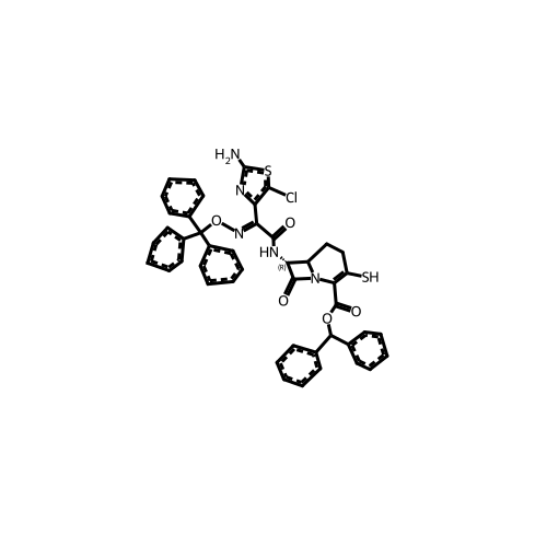 Nc1nc(C(=NOC(c2ccccc2)(c2ccccc2)c2ccccc2)C(=O)N[C@H]2C(=O)N3C(C(=O)OC(c4ccccc4)c4ccccc4)=C(S)CCC23)c(Cl)s1